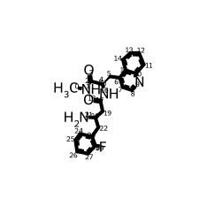 CNC(=O)[C@@H](Cc1ccnc2ccccc12)NC(=O)CC(N)Cc1ccccc1F